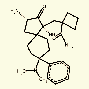 CN(C)C1(c2ccccc2)CCC2(CC1)C[C@H](N)C(=O)[C@@]2(N)CC1(C(N)=O)CCC1